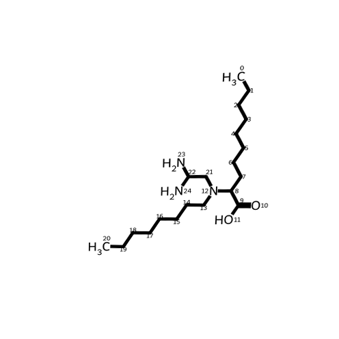 CCCCCCCCC(C(=O)O)N(CCCCCCCC)CC(N)N